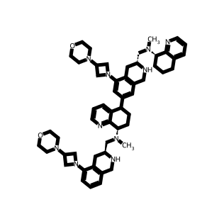 CN(C[C@H]1Cc2c(cc(C3CC[C@H](N(C)C[C@@H]4Cc5c(cccc5N5CC(N6CCOCC6)C5)CN4)c4ncccc43)cc2N2CC(N3CCOCC3)C2)CN1)[C@H]1CCCc2cccnc21